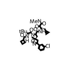 CNC(=O)C(=O)[C@H](CC1CC1)NC(=O)C1C[C@]2(CC(c3cccc(Cl)c3)=NO2)CN1C(=O)[C@@H](NC(=O)C1CCC1)C(C)(C)C